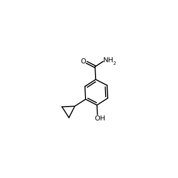 NC(=O)c1ccc(O)c(C2CC2)c1